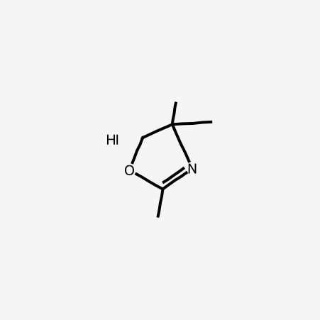 CC1=NC(C)(C)CO1.I